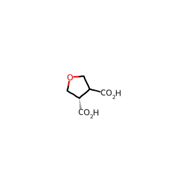 O=C(O)C1COC[C@H]1C(=O)O